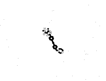 CNC(=O)C(C(=O)OC)N(C)C(=O)c1ccc(C#Cc2ccc(CN3CCCOCC3)cc2)cc1